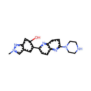 Cn1cc2cc(-c3ccc4nc(N5CCNCC5)ccc4n3)c(O)cc2n1